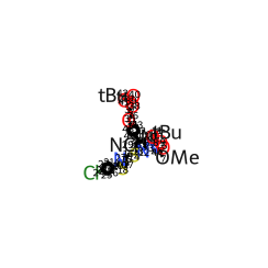 [C-]#[N+]c1c(N(CC(=O)OC)C(=O)OC(C)(C)C)nc(SCc2csc(-c3ccc(Cl)cc3)n2)c(C#N)c1-c1ccc(OCCOC(=O)OC(C)(C)C)cc1